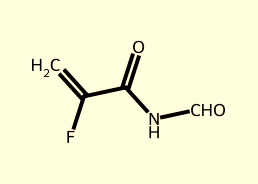 C=C(F)C(=O)NC=O